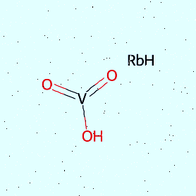 [O]=[V](=[O])[OH].[RbH]